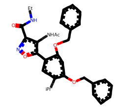 CCNC(=O)c1noc(-c2cc(C(C)C)c(OCc3ccccc3)cc2OCc2ccccc2)c1NC(C)=O